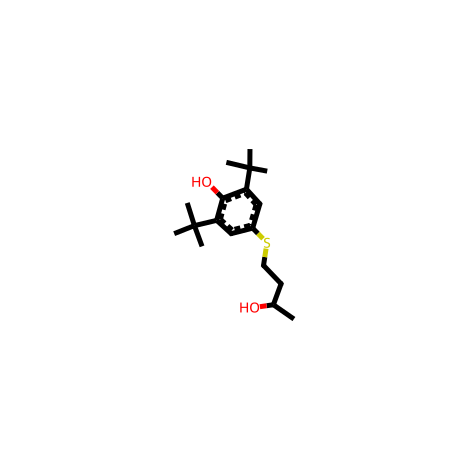 CC(O)CCSc1cc(C(C)(C)C)c(O)c(C(C)(C)C)c1